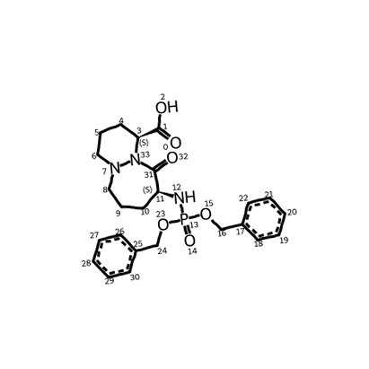 O=C(O)[C@@H]1CCCN2CCC[C@H](NP(=O)(OCc3ccccc3)OCc3ccccc3)C(=O)N12